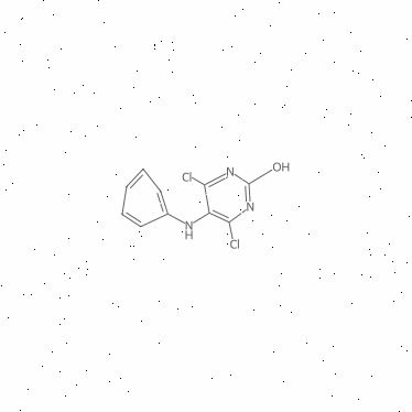 Oc1nc(Cl)c(Nc2ccccc2)c(Cl)n1